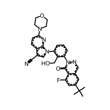 CC(C)(C)c1cc(F)c2c(=O)n(-c3cccc(-n4cc(C#N)c5ccc(N6CCOCC6)nc54)c3CO)ncc2c1